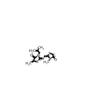 C=C(C)CN1C(=O)C(=C)S/C1=N/N=C1/SCC(=O)N1C